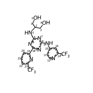 OCC(CO)Nc1nc(Nc2ccnc(C(F)(F)F)c2)nc(-c2cccc(C(F)(F)F)n2)n1